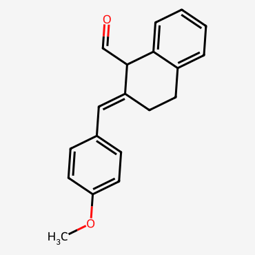 COc1ccc(/C=C2\CCc3ccccc3C2C=O)cc1